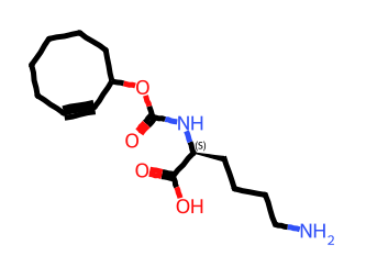 NCCCC[C@H](NC(=O)OC1C#CCCCCC1)C(=O)O